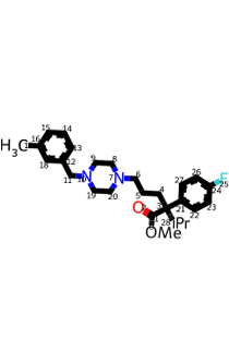 COC(=O)C(CCCN1CCN(Cc2cccc(C)c2)CC1)(c1ccc(F)cc1)C(C)C